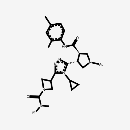 CC(=O)N1C[C@H](C(=O)Nc2ccc(C)cc2C)[C@@H](c2nnc(C3CN(C(=O)N(C)C(C)C)C3)n2C2CC2)C1